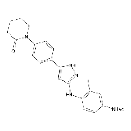 CC(=O)Nc1ccc(Nc2cc(-c3ccc(N4CCCCC4=O)cc3)[nH]n2)c(C)c1